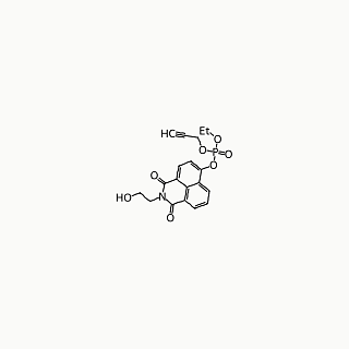 C#CCOP(=O)(OCC)Oc1ccc2c3c(cccc13)C(=O)N(CCO)C2=O